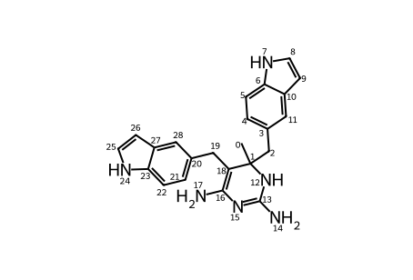 CC1(Cc2ccc3[nH]ccc3c2)NC(N)=NC(N)=C1Cc1ccc2[nH]ccc2c1